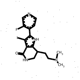 CN(C)CCC1CNC(=O)c2c1[nH]c(-c1ccncc1F)c2I